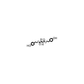 O=C(NNC(=O)OCCc1ccc(O)cc1)OCCc1ccc(O)cc1